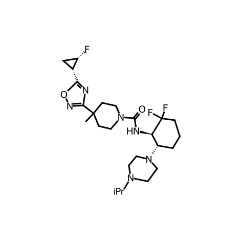 CC(C)N1CCN([C@H]2CCCC(F)(F)[C@@H]2NC(=O)N2CCC(C)(c3noc([C@@H]4C[C@@H]4F)n3)CC2)CC1